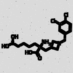 NC(CCCCB(O)O)(CC1CN(Cc2ccc(Cl)c(Cl)c2)C1)C(=O)O